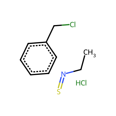 CCN=S.Cl.ClCc1ccccc1